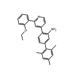 CCOc1ccccc1-c1cc(-c2ccc(-c3c(C)cc(C)cc3C)cc2N)ccn1